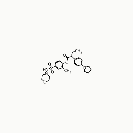 CCC(C(=O)Oc1ccc(S(=O)(=O)NN2CCOCC2)cc1C)c1ccc(N2CCCC2)cc1